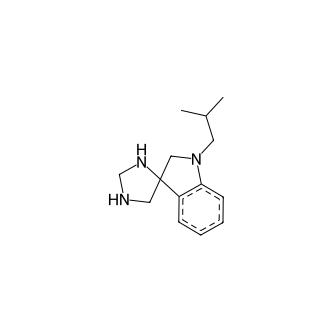 CC(C)CN1CC2(CNCN2)c2ccccc21